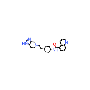 O=C(N[C@H]1CC[C@H](CCN2CCc3[nH]cnc3C2)CC1)c1cccc2ncccc12